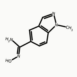 Cn1ncc2cc(/C(N)=N/O)ccc21